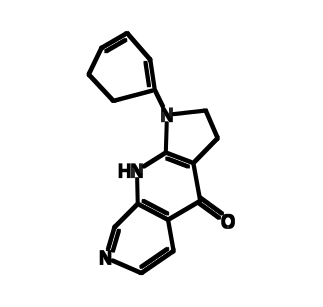 O=c1c2c([nH]c3cnccc13)N(C1=CC=CCC1)CC2